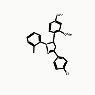 COc1ccc(C2CC(c3ccc(Cl)cc3)=NN2c2ccccc2C)c(OC)c1